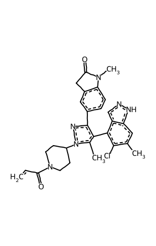 C=CC(=O)N1CCC(n2nc(-c3ccc4c(c3)CC(=O)N4C)c(-c3c(Cl)c(C)cc4[nH]ncc34)c2C)CC1